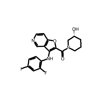 O=C(c1oc2ccncc2c1Nc1ccc(I)cc1F)N1CCC[C@@H](O)C1